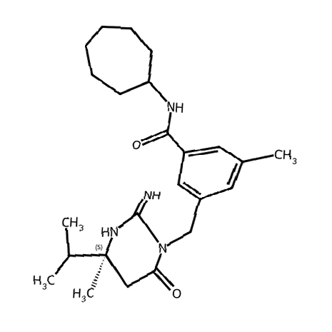 Cc1cc(CN2C(=N)N[C@](C)(C(C)C)CC2=O)cc(C(=O)NC2CCCCCC2)c1